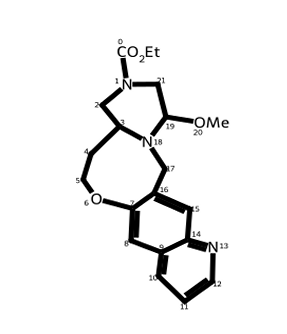 CCOC(=O)N1CC2CCOc3cc4cccnc4cc3CN2C(OC)C1